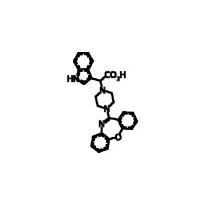 O=C(O)C(c1c[nH]c2ccccc12)N1CCN(C2=Nc3ccccc3Oc3ccccc32)CC1